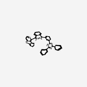 c1ccc(-c2nc(-c3ccccc3)nc(-c3cccc(-c4nnc(-c5nccc6sc7ccccc7c56)c5ccccc45)c3)n2)cc1